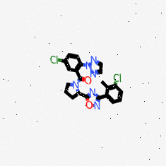 Cc1c(Cl)cccc1-c1noc(C2CCCN2C(=O)c2cc(Cl)ccc2-n2nccn2)n1